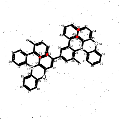 Cc1ccccc1-c1ccccc1B1c2ccccc2Oc2cc(-c3cc(C)c(B4c5ccccc5Oc5ccccc54)c(-c4ccccc4)c3)ccc21